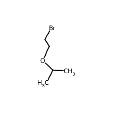 CC(C)OCCBr